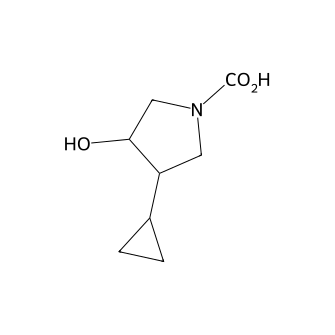 O=C(O)N1CC(O)C(C2CC2)C1